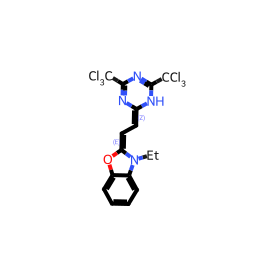 CCN1/C(=C\C=C2/N=C(C(Cl)(Cl)Cl)N=C(C(Cl)(Cl)Cl)N2)Oc2ccccc21